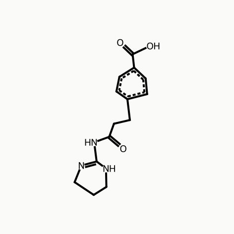 O=C(CCc1ccc(C(=O)O)cc1)NC1=NCCCN1